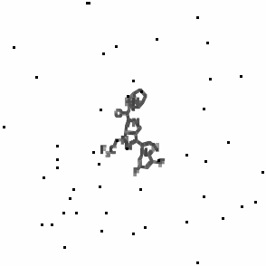 O=C(c1cc2c(cn1)c(-c1cnc3c(F)cc(F)cn13)nn2CC(F)(F)F)N1CC2CCC(C1)N2